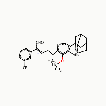 C[SiH](C)Oc1c(CC/C=C(\C=O)c2cccc(C(F)(F)F)c2)ccc(C23CC4CC(CC(C4)C2)C3)c1C(C)(C)C